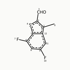 Cc1c(C=O)sc2c(F)cc(F)cc12